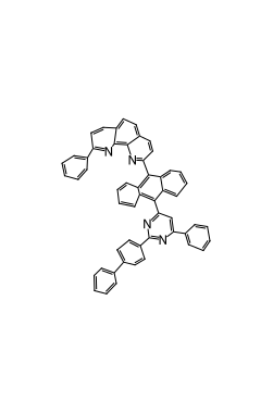 c1ccc(-c2ccc(-c3nc(-c4ccccc4)cc(-c4c5ccccc5c(-c5ccc6ccc7ccc(-c8ccccc8)nc7c6n5)c5ccccc45)n3)cc2)cc1